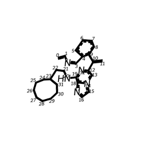 C=C/N=C\c1ccccc1C(=C)c1cn2ccnc2c(NCCC2CCCCCCCC2)n1